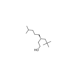 CC(C)CCC[C@H](CCO)CC(C)(C)C